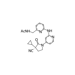 CC(=O)NCc1cccc(Nc2cc(N3CC[C@@](C#N)(C4CC4)C3=O)ccn2)n1